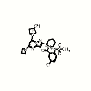 CS(=O)(=O)Nc1ccc(Cl)cc1C(=O)N1CCCC[C@H]1c1cc2nc(N3CCC3)cc(N3CC[C@H](O)C3)n2n1